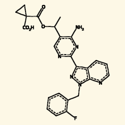 CC(OC(=O)C1(C(=O)O)CC1)c1cnc(-c2nn(Cc3ccccc3F)c3ncccc23)nc1N